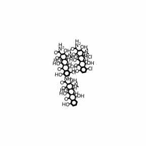 CN(C)[C@@H]1C(O)=C(C(N)=O)C(=O)[C@@]2(O)C(O)=C3C(=O)c4c(O)ccc(Cl)c4[C@@H](O)[C@H]3C[C@@H]12.CN(C)[C@@H]1C(O)=C(C(N)=O)C(=O)[C@@]2(O)C(O)=C3C(=O)c4c(O)ccc(Cl)c4[C@@H](O)[C@H]3C[C@@H]12.CN(C)[C@@H]1C(O)=C(C(N)=O)C(=O)[C@@]2(O)C(O)=C3C(=O)c4c(O)cccc4[C@@H](O)[C@H]3C[C@@H]12.Cl